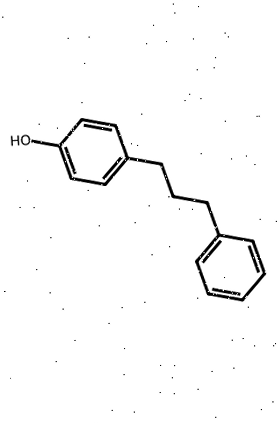 Oc1ccc(C[CH]Cc2ccccc2)cc1